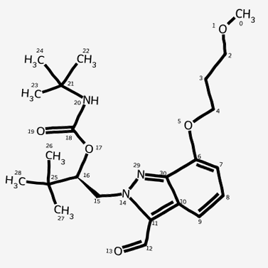 COCCCOc1cccc2c(C=O)n(C[C@H](OC(=O)NC(C)(C)C)C(C)(C)C)nc12